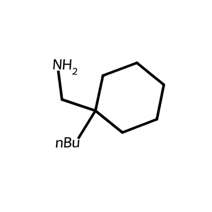 CCCCC1(CN)CCCCC1